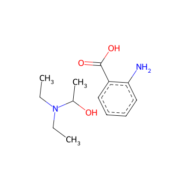 CCN(CC)C(C)O.Nc1ccccc1C(=O)O